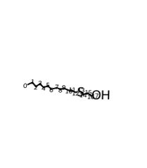 CCCCCCCCCCCCCSCCCO